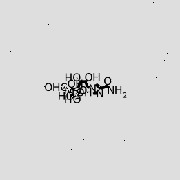 NC(=O)c1cn(C2O[C@@H](C(O)(NC=O)P(=O)(O)O)[C@H](O)[C@@H]2O)cn1